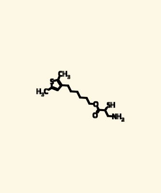 Cc1cc(CCCCCCOC(=O)C(S)CN)c(C)s1